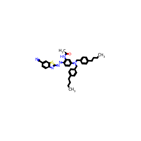 CCCCc1ccc(CN(Cc2ccc(CCCC)cc2)c2ccc(N=Nc3nc4ccc(C#N)cc4s3)c(NC(C)=O)c2)cc1